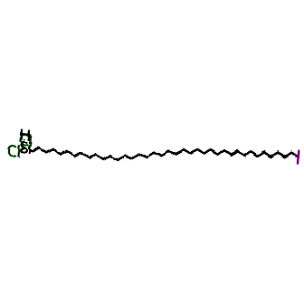 Cl[SiH](Cl)CCCCCCCCCCCCCCCCCCCCCCCCCCCCCCCCCCCCCCI